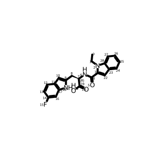 CCn1c(C(=O)N[C@H](Cc2cc3ccc(F)cc3[nH]2)C(=O)O)cc2ccccc21